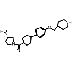 O=C(C1CC=C(c2ccc(OCC3CCNCC3)cc2)CC1)N1CC[C@H](O)C1